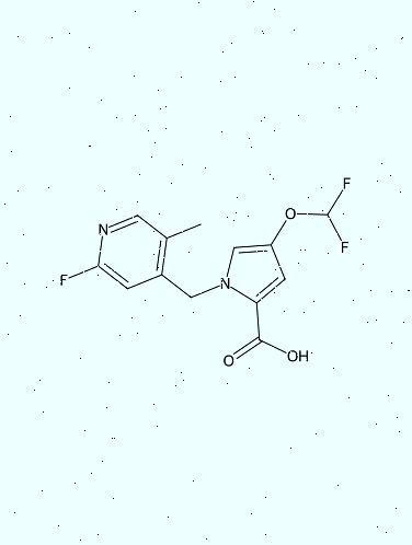 Cc1cnc(F)cc1Cn1cc(OC(F)F)cc1C(=O)O